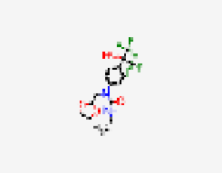 CCNC(=O)N(CC1OCCO1)c1ccc(C(O)(C(F)(F)F)C(F)(F)F)cc1